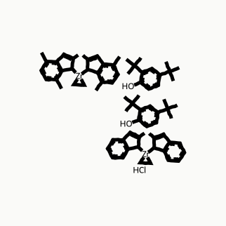 CC(C)(C)c1ccc(O)c(C(C)(C)C)c1.CC(C)(C)c1ccc(O)c(C(C)(C)C)c1.CC1=Cc2c(C)ccc(C)c2[CH]1[Zr]1([CH]2C(C)=Cc3c(C)ccc(C)c32)[CH2][CH2]1.CC1=Cc2ccccc2[CH]1[Zr]1([CH]2C(C)=Cc3ccccc32)[CH2][CH2]1.Cl